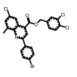 Cc1cc(Cl)cc2c(C(=O)OCc3ccc(Cl)c(Cl)c3)cc(-c3ccc(Br)cc3)nc12